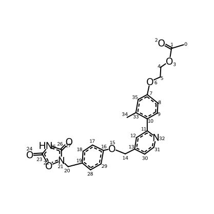 CC(=O)OCCOc1ccc(-c2cc(COc3ccc(Cn4oc(=O)[nH]c4=O)cc3)ccn2)c(C)c1